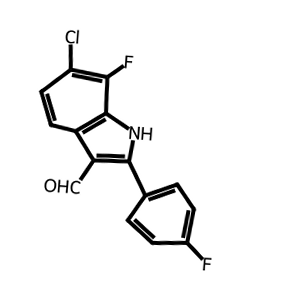 O=Cc1c(-c2ccc(F)cc2)[nH]c2c(F)c(Cl)ccc12